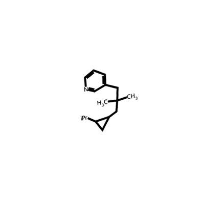 CC(C)C1CC1CC(C)(C)Cc1cccnc1